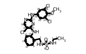 CCNS(=O)(=O)NCc1ccccc1Nc1nc(Nc2cc(Cl)c(OC)c(Cl)c2)ncc1Cl